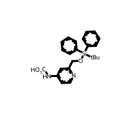 CC(C)(C)[Si](OCc1cc(NC(=O)O)ccn1)(c1ccccc1)c1ccccc1